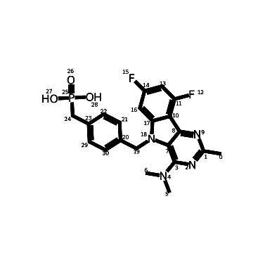 Cc1nc(N(C)C)c2c(n1)c1c(F)cc(F)cc1n2Cc1ccc(CP(=O)(O)O)cc1